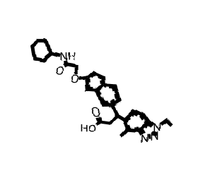 CCn1nnc2c(C)c(C(CC(=O)O)c3ccc4ccc(OCC(=O)NC5CCCCC5)cc4c3)ccc21